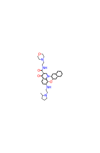 CC1CCCN1CCNc1ccc2c(=O)c(C(=O)NCCN3CCOCC3)cn3c2c1Oc1cc2ccccc2cc1-3